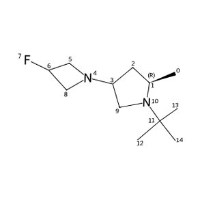 C[C@@H]1CC(N2CC(F)C2)CN1C(C)(C)C